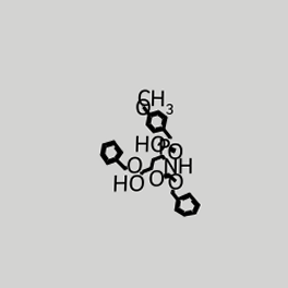 COc1ccc(CP(=O)(O)C(CCC(O)OCc2ccccc2)NC(=O)OCc2ccccc2)cc1